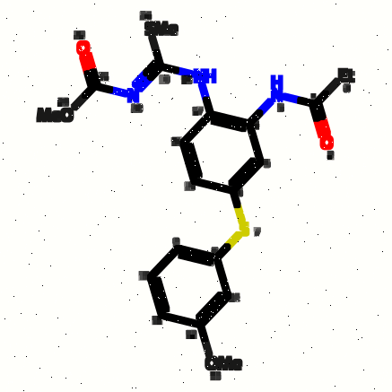 CCC(=O)Nc1cc(Sc2cccc(OC)c2)ccc1NC(=NC(=O)OC)SC